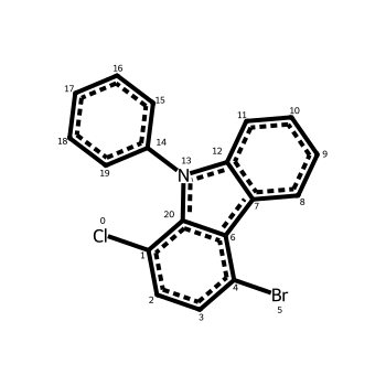 Clc1ccc(Br)c2c3ccccc3n(-c3ccccc3)c12